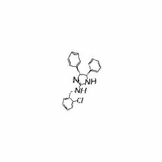 Clc1ccccc1CNC1=N[C@@H](c2ccccc2)[C@@H](c2ccccc2)N1